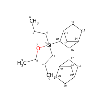 CCC[Si](CCC)(OCC)C1C2CCC(C2)C1C1CC2CCC1C2